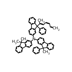 C=C/C=C\C=C(/C)C1(c2ccccc2)c2ccccc2-c2ccc(N(c3ccc4c(c3)C(C)(C)c3ccccc3-4)c3ccc4c(c3)C(C)(c3ccccc3)c3ccccc3-4)cc21